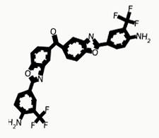 Nc1ccc(-c2nc3cc(C(=O)c4ccc5oc(-c6ccc(N)c(C(F)(F)F)c6)nc5c4)ccc3o2)cc1C(F)(F)F